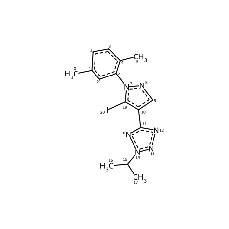 Cc1ccc(C)c(-n2ncc(-c3nnn(C(C)C)n3)c2I)c1